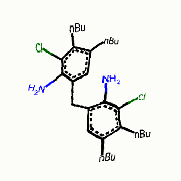 CCCCc1cc(Cc2cc(CCCC)c(CCCC)c(Cl)c2N)c(N)c(Cl)c1CCCC